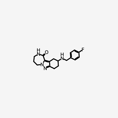 O=C1NCCCn2nc3c(c21)CC(NCc1ccc(F)cc1)CC3